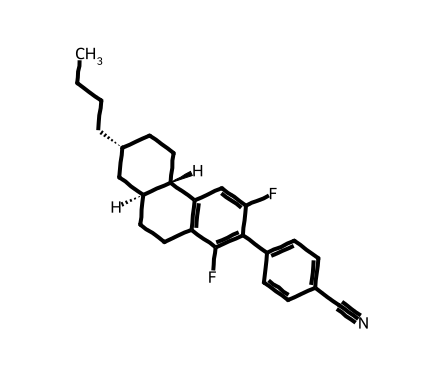 CCCC[C@@H]1CC[C@@H]2c3cc(F)c(-c4ccc(C#N)cc4)c(F)c3CC[C@H]2C1